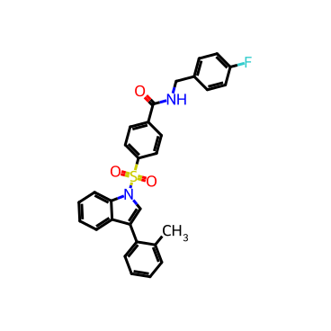 Cc1ccccc1-c1cn(S(=O)(=O)c2ccc(C(=O)NCc3ccc(F)cc3)cc2)c2ccccc12